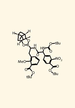 COc1c(CC(NC(=O)C(NC(=O)OC(C)(C)C)c2ccc(C(=O)OC(C)(C)C)c([N+](=O)[O-])c2)B2O[C@@H]3C[C@@H]4C[C@@H](C4(C)C)[C@]3(C)O2)cccc1C(=O)OC(C)(C)C